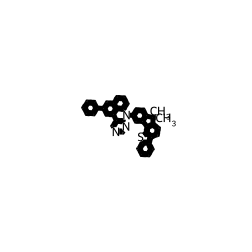 CC1(C)c2ccc(N3c4ncncc4-c4cc(-c5ccccc5)cc5cccc3c45)cc2-c2c1ccc1c2sc2ccccc21